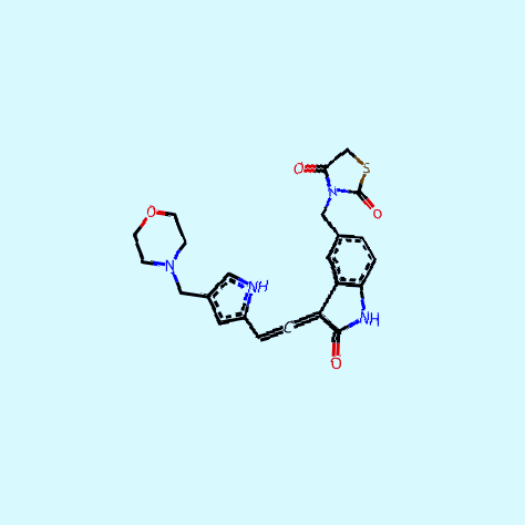 O=C1Nc2ccc(CN3C(=O)CSC3=O)cc2C1=C=Cc1cc(CN2CCOCC2)c[nH]1